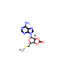 CSC[C@H]1O[C@@H](n2cnc3c(N)ncnc32)[C@H]2OC(=O)OC12